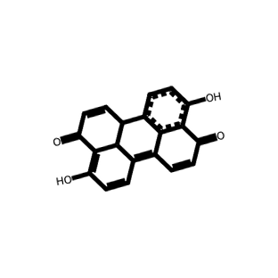 O=C1C=CC2c3ccc(O)c4c3C(=C3C=CC(O)=C1C32)C=CC4=O